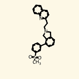 CS(=O)(=O)c1cccc(-c2cccc3c2CN(CCc2ccc4ccccc4n2)C3)c1